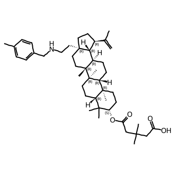 C=C(C)[C@@H]1CC[C@]2(CCNCc3ccc(C)cc3)CC[C@]3(C)[C@H](CC[C@@H]4[C@@]5(C)CC[C@H](OC(=O)CC(C)(C)CC(=O)O)C(C)(C)[C@@H]5CC[C@]43C)[C@@H]12